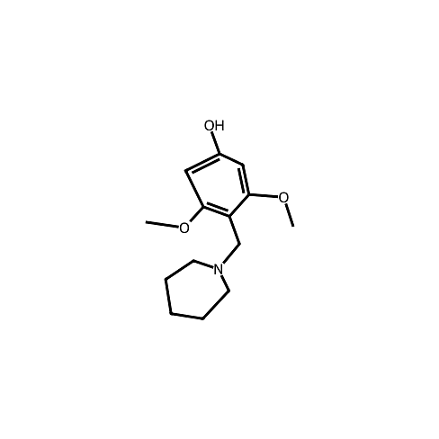 COc1cc(O)cc(OC)c1CN1CCCCC1